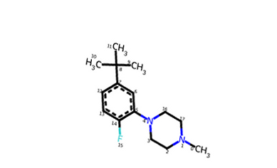 CN1CCN(c2cc(C(C)(C)C)ccc2F)CC1